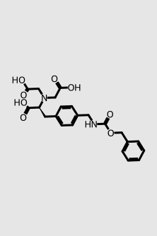 O=C(O)CN(CC(=O)O)[C@@H](Cc1ccc(CNC(=O)OCc2ccccc2)cc1)C(=O)O